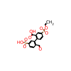 C=COS(=O)(=O)c1ccc(-c2cc(S(=O)(=O)O)ccc2C=O)c(C(=O)O)c1